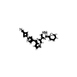 N#CC1CC(n2cc(-c3nc(/C(C=N)=N/NC4CCCCO4)cn4nccc34)cn2)C1